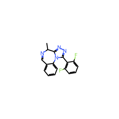 CC1N=Cc2ccccc2-n2c(-c3c(F)cccc3F)nnc21